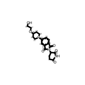 O=C1CCC(N2C(=O)c3ccc(N4CCC(OCCO)CC4)cc3C2=O)C(=O)N1